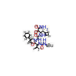 C=C(C)[C@H](NC(=O)NC(C)(C)C)C(=O)N(CC(=O)NC(CC1CCC1)C(=O)C(N)=O)CC1(c2ccccc2)CC1